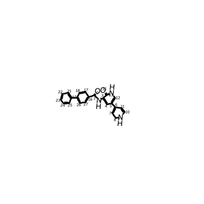 O=C(Nc1cc(C2=CCNC=C2)c[nH]c1=O)c1ccc(-c2ccccc2)cc1